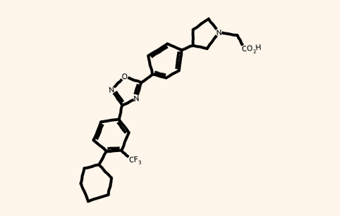 O=C(O)CN1CCC(c2ccc(-c3nc(-c4ccc(C5CCCCC5)c(C(F)(F)F)c4)no3)cc2)C1